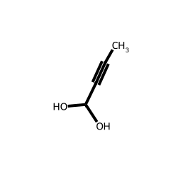 CC#C[C](O)O